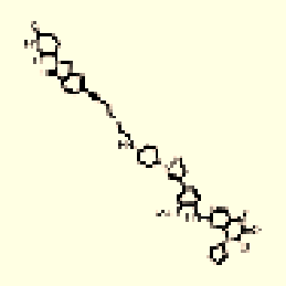 CC[C@@H]1C(=O)N(C)c2cnc(Nc3ccc(-c4cn([C@H]5CC[C@@H](NCCOCCC#Cc6ccc7c(c6)CN(C6CCC(=O)NC6=O)C7=O)CC5)nn4)cc3OC)nc2N1C1CCCC1